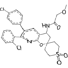 COCC(=O)NC1CC2(CCS(=O)(=O)CC2)Oc2nc(-c3ccccc3Cl)c(-c3ccc(Cl)cc3)cc21